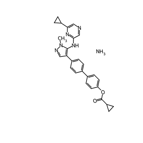 Cn1ncc(-c2ccc(-c3ccc(OC(=O)C4CC4)cc3)cc2)c1Nc1cncc(C2CC2)n1.N